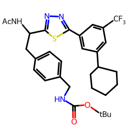 CC(=O)NC(Cc1ccc(CNC(=O)OC(C)(C)C)cc1)c1nnc(-c2cc(C3CCCCC3)cc(C(F)(F)F)c2)s1